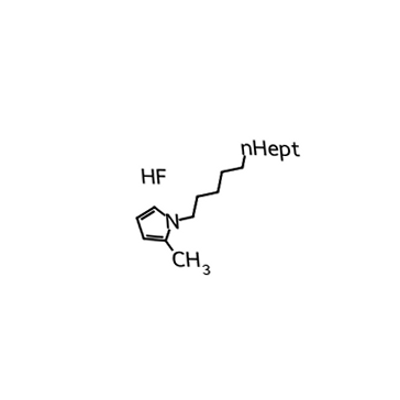 CCCCCCCCCCCCn1cccc1C.F